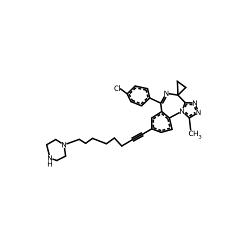 Cc1nnc2n1-c1ccc(C#CCCCCCCN3CCNCC3)cc1C(c1ccc(Cl)cc1)=NC21CC1